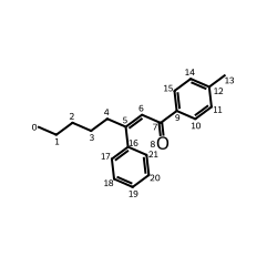 CCCCCC(=CC(=O)c1ccc(C)cc1)c1ccccc1